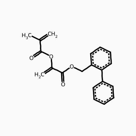 C=C(C)C(=O)OC(=C)C(=O)OCc1ccccc1-c1ccccc1